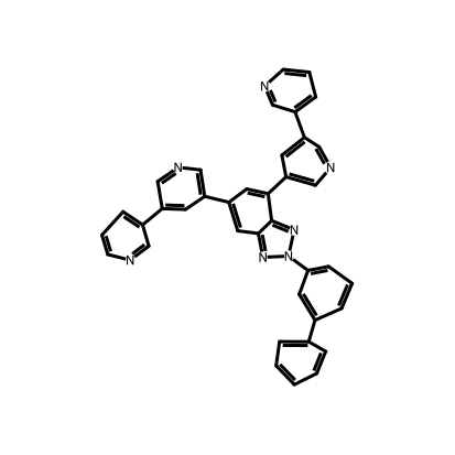 c1ccc(-c2cccc(-n3nc4cc(-c5cncc(-c6cccnc6)c5)cc(-c5cncc(-c6cccnc6)c5)c4n3)c2)cc1